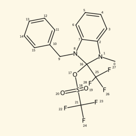 CN1c2ccccc2N(Cc2ccccc2)C1(OS(=O)(=O)C(F)(F)F)C(F)(F)F